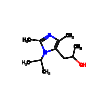 Cc1nc(C)n(C(C)C)c1CC(C)O